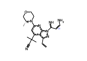 C=Cc1nn(C(=N)/C=C\N)c2nc(N3CCOC[C@H]3C)cc(C(C)(C)C#N)c12